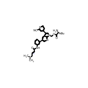 CC[C@H](C)[C@H](N)C(=O)OCn1cc(-c2ccnc(C#N)c2)c2cc(-c3cccc(NC(=O)/C=C/CN(C)C)c3)cnc21